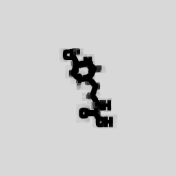 O=C(O)NCCc1ccc(Cl)nc1